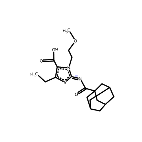 CCc1s/c(=N\C(=O)C23CC4CC(CC(C4)C2)C3)n(CCOC)c1C(=O)O